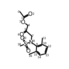 CC(=O)OCC(=O)CN(c1c(C)cccc1C)S(C)(=O)=O